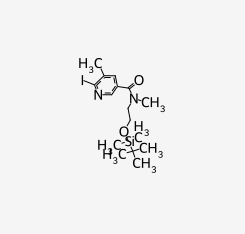 Cc1cc(C(=O)N(C)CCO[Si](C)(C)C(C)(C)C)cnc1I